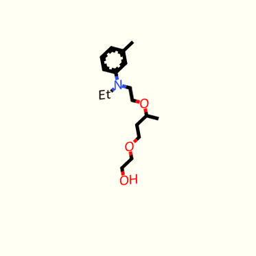 CCN(CCOC(C)CCOCCO)c1cccc(C)c1